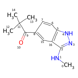 CNc1n[nH]c2ccc(C(=O)C(C)(C)C)cc12